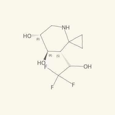 OC([C@@H]1[C@@H](O)[C@H](O)CNC12CC2)C(F)(F)F